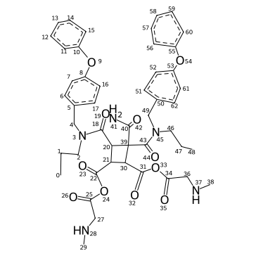 CCCN(Cc1ccc(Oc2ccccc2)cc1)C(=O)C1C(C(=O)OC(=O)CNC)C(C(=O)OC(=O)CNC)C1(C(N)=O)C(=O)N(CCC)Cc1ccc(Oc2ccccc2)cc1